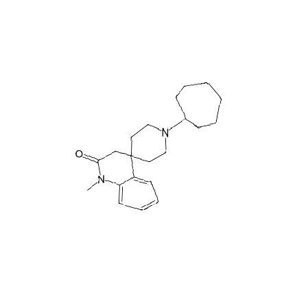 CN1C(=O)CC2(CCN(C3CCCCCC3)CC2)c2ccccc21